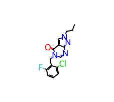 CCCn1cc2c(=O)n(Cc3c(F)cccc3Cl)cnc2n1